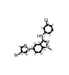 Cn1nc(Nc2cccc(Cl)c2)c2cc(-n3cc(Br)cn3)ccc21